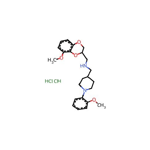 COc1ccccc1N1CCC(CNCC2COc3cccc(OC)c3O2)CC1.Cl.Cl